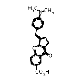 CN(C)c1ccc(C=C2CCc3c2oc2ccc(C(=O)O)cc2c3=O)cc1